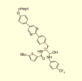 CCCCCCCOc1ccc(-c2cnc(-c3ccc(C[C@H](NC(=O)c4ccc(C(C)(C)C)s4)C(O)Nc4ccc(C(F)(F)F)cc4)cc3)nc2)cc1